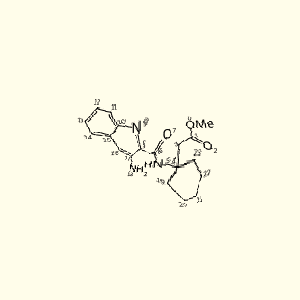 COC(=O)CC1(NC(=O)c2nc3ccccc3cc2N)CCCCC1